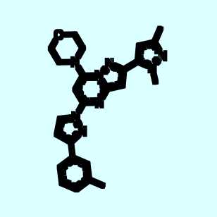 Cc1cccc(-c2ccn(-c3cc(N4CCOCC4)n4nc(-c5cc(C)nn5C)cc4n3)n2)c1